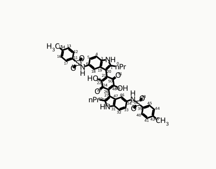 CCCc1[nH]c2ccc(NS(=O)(=O)c3ccc(C)cc3)cc2c1C1=C(O)C(=O)C(c2c(CCC)[nH]c3ccc(NS(=O)(=O)c4ccc(C)cc4)cc23)=C(O)C1=O